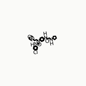 O=C(CNC1CCCC1)Nc1ccc(N(CCN2CCOCC2)C(=O)Nc2ccc(Cl)cc2)cc1